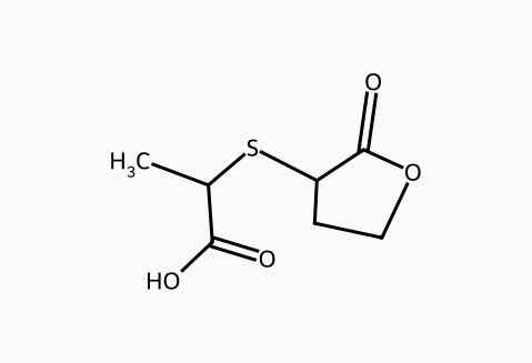 CC(SC1CCOC1=O)C(=O)O